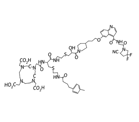 Cc1ccc(CCCC(=O)NCCSCC(NC(=O)CN2CCN(CC(=O)O)CCN(CC(=O)O)CCN(CC(=O)O)CC2)C(=O)NCCSC[C@@H](O)C(=O)N2CCC(CCCOc3ccc4nccc(C(=O)NCC(=O)N5CC(F)(F)C[C@@H]5C#N)c4c3)CC2)cc1